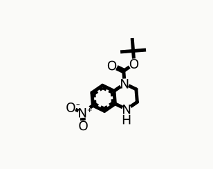 CC(C)(C)OC(=O)N1CCNc2cc([N+](=O)[O-])ccc21